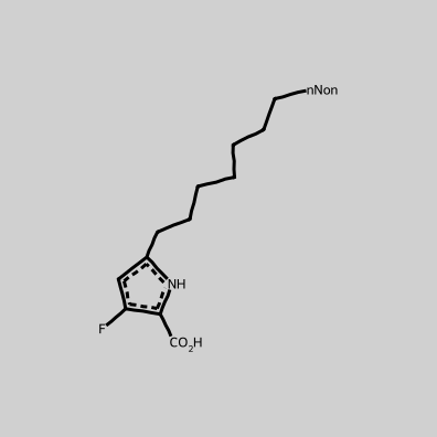 CCCCCCCCCCCCCCCCc1cc(F)c(C(=O)O)[nH]1